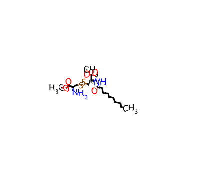 CCCCCCCCCC(=O)N[C@@H](CSSCC(N)C(=O)OC)C(=O)OC